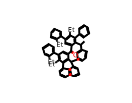 CCc1ccccc1-c1cc(C(=O)c2cc(-c3ccccc3CC)c(CC)c(-c3ccccc3)c2C(C)c2ccccc2)c(C(C)c2ccccc2)c(-c2ccccc2)c1CC